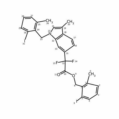 Cc1cccc(I)c1COC(=O)C(F)(F)c1ccc2c(C)cn(Cc3c(C)cccc3I)c2c1